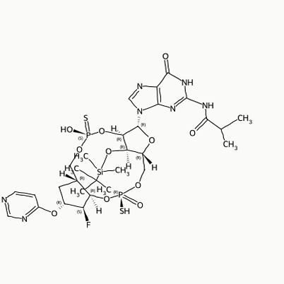 CC(C)C(=O)Nc1nc2c(ncn2[C@@H]2O[C@@H]3CO[P@@](=O)(S)O[C@@H]4[C@@H](CO[P@](O)(=S)O[C@@H]2[C@@H]3O[Si](C)(C)C(C)(C)C)C[C@@H](Oc2ccncn2)[C@@H]4F)c(=O)[nH]1